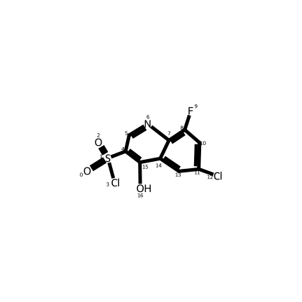 O=S(=O)(Cl)c1cnc2c(F)cc(Cl)cc2c1O